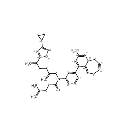 C=C(P)CCC(=O)N(CC(=C)CCC(=C)c1nc(C2CC2)no1)c1cccc(C2=NC(C)=NN3CC#CCC=C23)c1